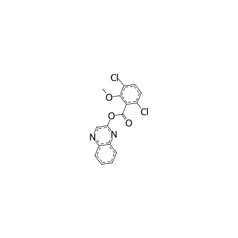 COc1c(Cl)ccc(Cl)c1C(=O)Oc1cnc2ccccc2n1